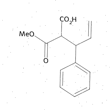 C=CC(c1ccccc1)C(C(=O)O)C(=O)OC